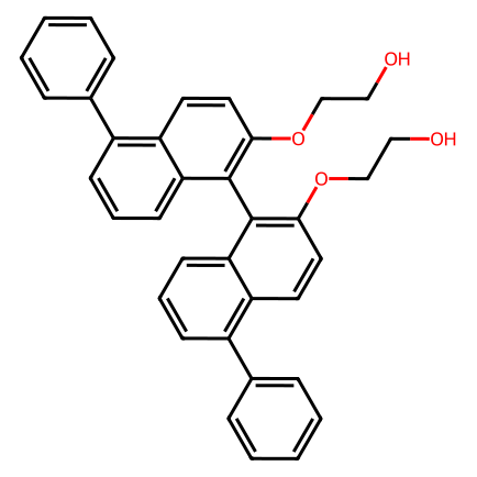 OCCOc1ccc2c(-c3ccccc3)cccc2c1-c1c(OCCO)ccc2c(-c3ccccc3)cccc12